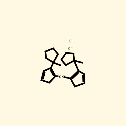 CC1(C2=[C]([Zr+2][C]3=C(C4(C)CCCC4)C=CC3)CC=C2)CCCC1.[Cl-].[Cl-]